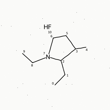 CCC1C(C)CCN1CC.F